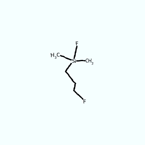 C[Si](C)(F)CCCF